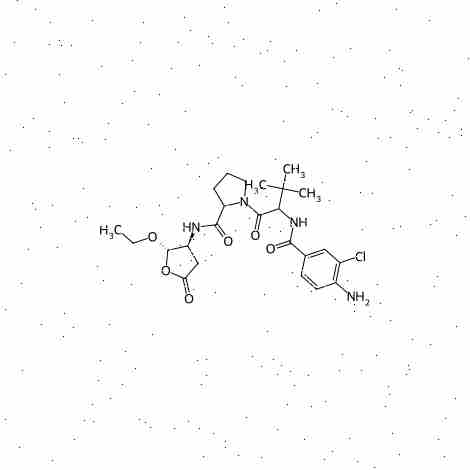 CCO[C@H]1OC(=O)C[C@@H]1NC(=O)C1CCCN1C(=O)C(NC(=O)c1ccc(N)c(Cl)c1)C(C)(C)C